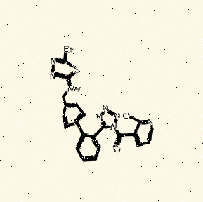 CCc1nnc(NCc2ccc(-c3ccccc3-c3nnnn3C(=O)c3cccnc3Cl)cc2)s1